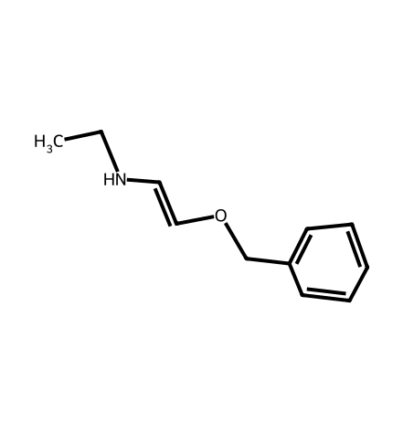 CCNC=COCc1ccccc1